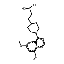 COc1cc(OC)c2ncnc(N3CCC(CCP(O)O)CC3)c2c1